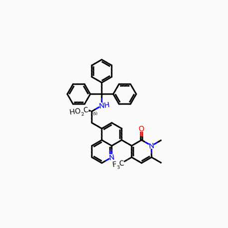 Cc1cc(C(F)(F)F)c(-c2ccc(C[C@H](NC(c3ccccc3)(c3ccccc3)c3ccccc3)C(=O)O)c3cccnc23)c(=O)n1C